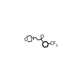 O=C(CCN1CCOCC1)c1cccc(C(F)(F)F)c1